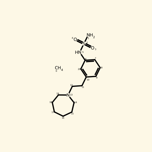 C.NS(=O)(=O)Nc1cccc(CCN2CCCCCC2)c1